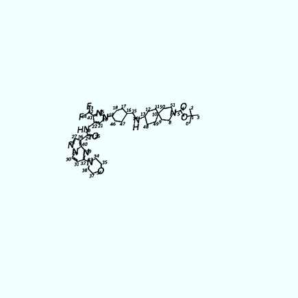 CC(C)(C)OC(=O)N1CCC2(CCC(NCC3CCC(n4cc(NC(=O)c5cnn6ccc(N7CCOCC7)nc56)c(C(F)F)n4)CC3)CC2)CC1